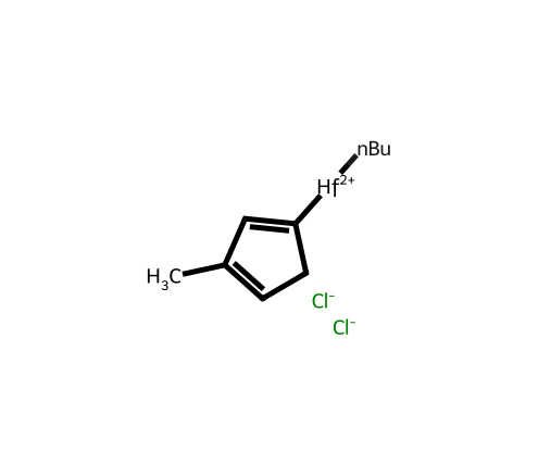 CCC[CH2][Hf+2][C]1=CC(C)=CC1.[Cl-].[Cl-]